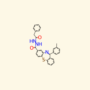 Cc1cccc(C2=Nc3cc(C(=O)NNC(=O)Cc4ccccc4)ccc3Sc3ccccc32)c1